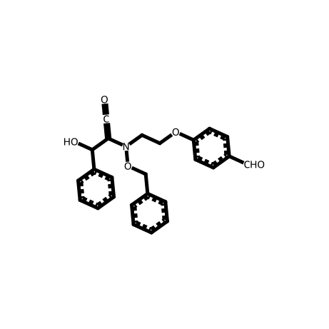 O=C=C(C(O)c1ccccc1)N(CCOc1ccc(C=O)cc1)OCc1ccccc1